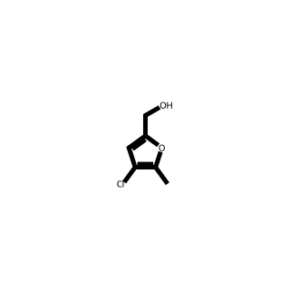 Cc1oc(CO)cc1Cl